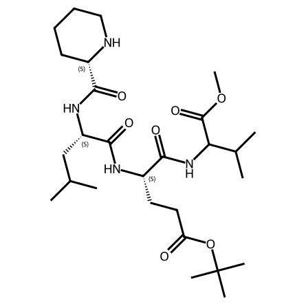 COC(=O)C(NC(=O)[C@H](CCC(=O)OC(C)(C)C)NC(=O)[C@H](CC(C)C)NC(=O)[C@@H]1CCCCN1)C(C)C